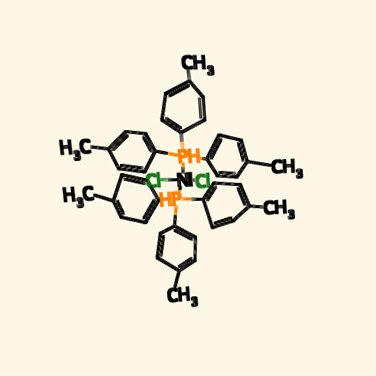 Cc1ccc([PH](c2ccc(C)cc2)(c2ccc(C)cc2)[Ni]([Cl])([Cl])[PH](c2ccc(C)cc2)(c2ccc(C)cc2)c2ccc(C)cc2)cc1